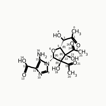 CC(=O)C(O)[C@H]1O[C@@H](n2cnc(C(=O)O)c2N)[C@@](O)(C(C)=O)[C@@]1(O)C(C)=O